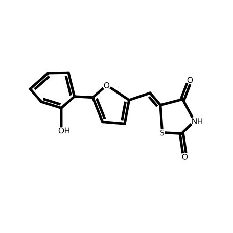 O=C1NC(=O)/C(=C/c2ccc(-c3ccccc3O)o2)S1